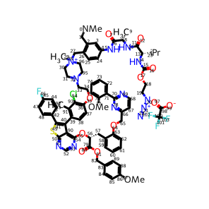 CNCc1cc(NC(=O)[C@H](C)NC(=O)[C@@H](NC(=O)OCCN=[N+]=[N-])C(C)C)ccc1C[N+]1(C)CCN(CCOc2ccc(-c3c(-c4ccc(F)cc4)sc4ncnc(O[C@H](Cc5ccccc5OCc5ccnc(-c6ccccc6OC)n5)C(=O)OCc5ccc(OC)cc5)c34)c(C)c2Cl)CC1.O=C([O-])C(F)(F)F